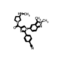 CNC1CCN(C(=O)c2cn(-c3ccc4nn(C)c(C)c4c3)c(-c3ccc(C#N)cc3)n2)C1